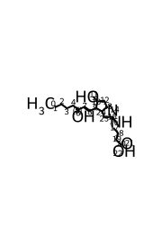 CCCCC[C@H](O)C=CC1C(O)CC2N=C(NCCCC(=O)O)CC21